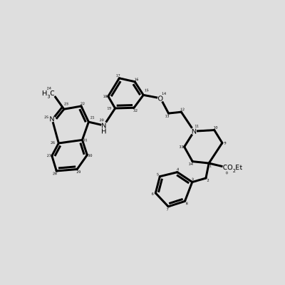 CCOC(=O)C1(Cc2ccccc2)CCN(CCOc2cccc(Nc3cc(C)nc4ccccc34)c2)CC1